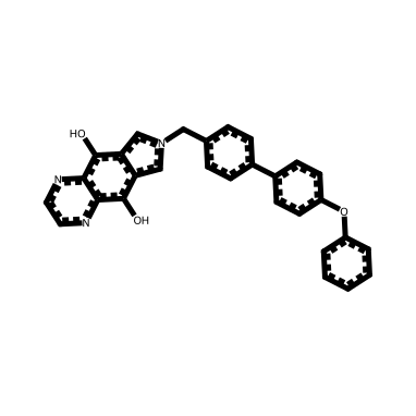 Oc1c2cn(Cc3ccc(-c4ccc(Oc5ccccc5)cc4)cc3)cc2c(O)c2nccnc12